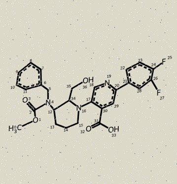 COC(=O)N(Cc1ccccc1)C1CCCN(c2cnc(-c3ccc(F)c(F)c3)cc2C(=O)O)C1CO